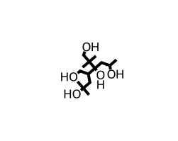 C[C](O)CC(O)(C(CO)CC(C)(C)O)C(C)(C)CO